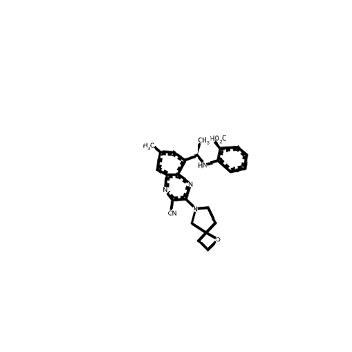 Cc1cc([C@@H](C)Nc2ccccc2C(=O)O)c2nc(N3CCC4(CCO4)C3)c(C#N)nc2c1